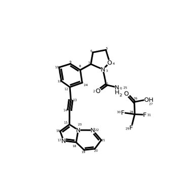 NC(=O)N1OCCC1c1cccc(C#Cc2cnc3cccnn23)c1.O=C(O)C(F)(F)F